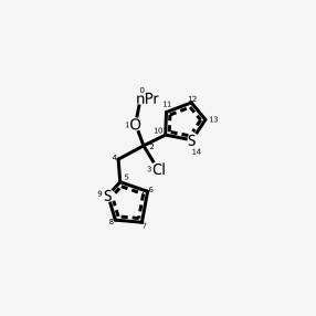 CCCOC(Cl)(Cc1cccs1)c1cccs1